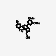 COc1cc(OC)cc(-c2cn(-c3cc(Br)ccc3C(F)(F)F)c(=O)c3c2ccn3CCO)c1